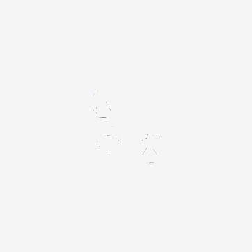 C/N=C\c1ncc(N2C[C@]3(CC[C@@](NC)(c4ccccc4)CC3)N(CC3(C#N)CCC3)C2=O)cn1